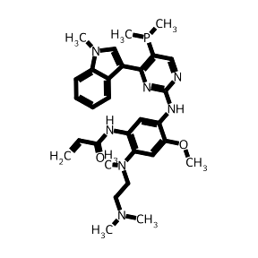 C=CC(=O)Nc1cc(Nc2ncc(P(C)C)c(-c3cn(C)c4ccccc34)n2)c(OC)cc1N(C)CCN(C)C